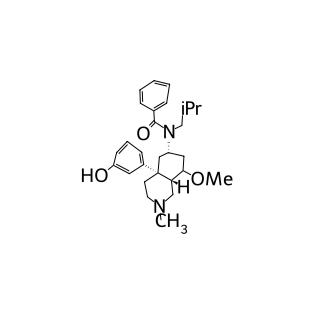 COC1C[C@@H](N(CC(C)C)C(=O)c2ccccc2)C[C@]2(c3cccc(O)c3)CCN(C)C[C@@H]12